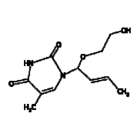 CC=CC(OCCO)n1cc(C)c(=O)[nH]c1=O